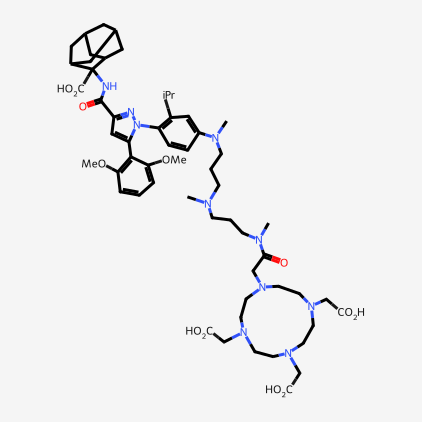 COc1cccc(OC)c1-c1cc(C(=O)NC2(C(=O)O)C3CC4CC(C3)CC2C4)nn1-c1ccc(N(C)CCCN(C)CCCN(C)C(=O)CN2CCN(CC(=O)O)CCN(CC(=O)O)CCN(CC(=O)O)CC2)cc1C(C)C